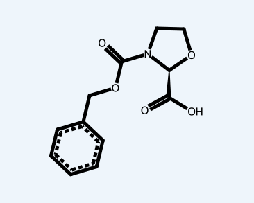 O=C(O)[C@@H]1OCCN1C(=O)OCc1ccccc1